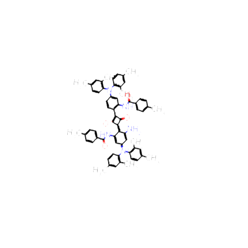 Cc1ccc(C(=O)NC2=CC(=[N+](c3ccc(C)cc3C)c3ccc(C)cc3C)C=C(N)/C2=C2\C(=O)C(c3ccc(N(c4ccc(C)cc4C)c4ccc(C)cc4C)cc3NC(=O)c3ccc(C)cc3)=C2[O-])cc1